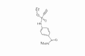 C#CP(=O)(Nc1ccc(C(=O)NC)cc1)OCC